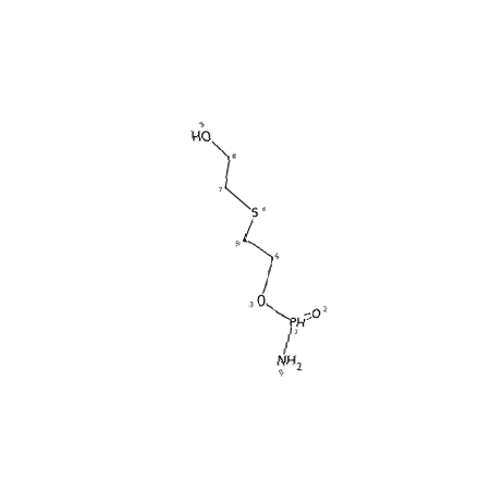 N[PH](=O)OCCSCCO